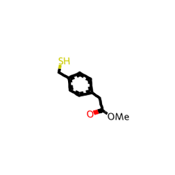 COC(=O)Cc1ccc(CS)cc1